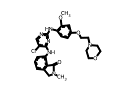 COc1cc(OCCN2CCOCC2)ccc1Nc1ncc(Cl)c(Nc2cccc3c2C(=O)N(C)C3)n1